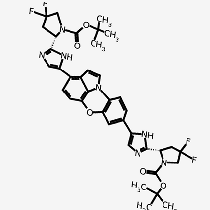 CC(C)(C)OC(=O)N1CC(F)(F)C[C@H]1c1ncc(-c2ccc3c(c2)Oc2ccc(-c4cnc([C@@H]5CC(F)(F)CN5C(=O)OC(C)(C)C)[nH]4)c4ccn-3c24)[nH]1